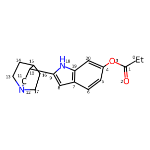 CCC(=O)Oc1ccc2cc(C3CN4CCC3CC4)[nH]c2c1